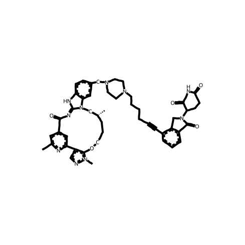 Cc1cc2cc(n1)-c1cnn(C)c1OCCC[C@@H](C)CN1/C(=N/C2=O)Nc2ccc(CN3CCN(CCCCC#Cc4cccc5c4CN(C4CCC(=O)NC4=O)C5=O)CC3)cc21